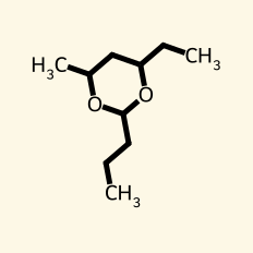 CCCC1OC(C)CC(CC)O1